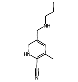 CCCNCC1=CC(C)=C(C#N)NC1